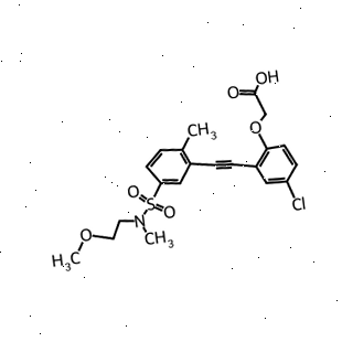 COCCN(C)S(=O)(=O)c1ccc(C)c(C#Cc2cc(Cl)ccc2OCC(=O)O)c1